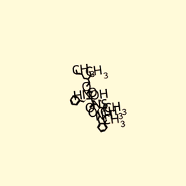 CCCCC(CC)COC(=O)N[C@@H](Cc1ccccc1)[C@H](O)C(=O)N1CSC(C)(C)[C@H]1C(=O)NCc1ccccc1C